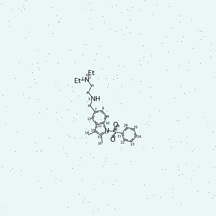 CCN(CC)CCNCc1ccc2c(c1)c(C)c(C)n2S(=O)(=O)c1ccccc1